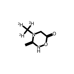 [2H]C([2H])([2H])N1CC(=O)ONC1=C